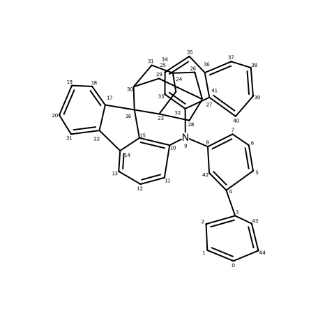 c1ccc(-c2cccc(N(c3cccc4c3C3(c5ccccc5-4)C4CC5CC(C4)CC3C5)c3cccc4ccccc34)c2)cc1